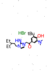 Br.CCC(CC)CCn1ccn(CC(=O)c2cc(N(C)C)c(O)c(C(C)(C)C)c2)c1=N